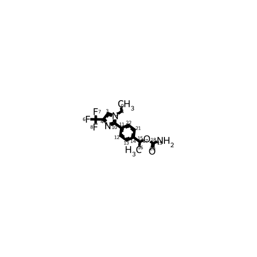 CCn1cc(C(F)(F)F)nc1-c1ccc(C(C)OC(N)=O)cc1